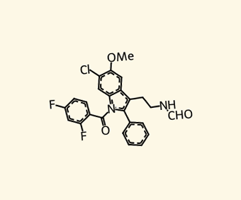 COc1cc2c(CCNC=O)c(-c3ccccc3)n(C(=O)c3ccc(F)cc3F)c2cc1Cl